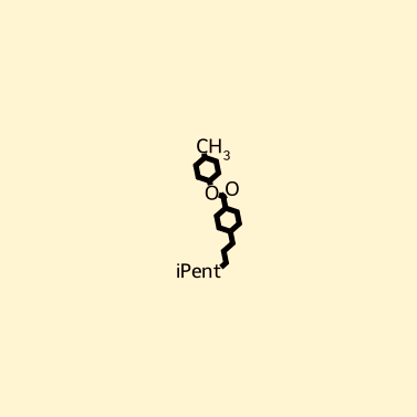 CCCC(C)CCCC1CCC(C(=O)OC2CCC(C)CC2)CC1